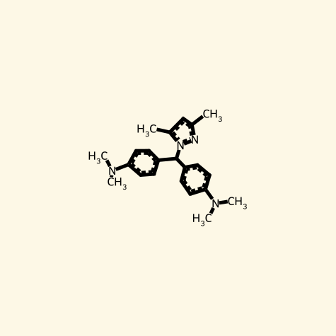 Cc1cc(C)n(C(c2ccc(N(C)C)cc2)c2ccc(N(C)C)cc2)n1